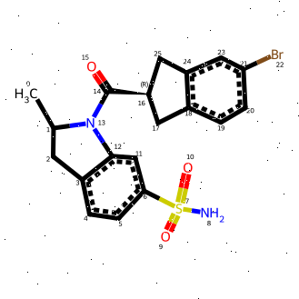 CC1Cc2ccc(S(N)(=O)=O)cc2N1C(=O)[C@@H]1Cc2ccc(Br)cc2C1